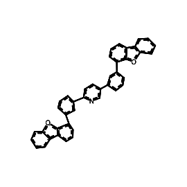 c1cc(-c2ccc(-c3cccc(-c4cccc5c4oc4ccccc45)c3)nc2)cc(-c2cccc3c2oc2ccccc23)c1